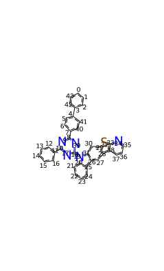 c1ccc(-c2ccc(-c3nc(-c4ccccc4)nc(-n4c5ccccc5c5cc6c(cc54)sc4ncccc46)n3)cc2)cc1